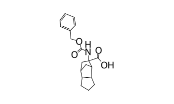 O=C(NC1(C(=O)O)CC2CC1C1CCCC21)OCc1ccccc1